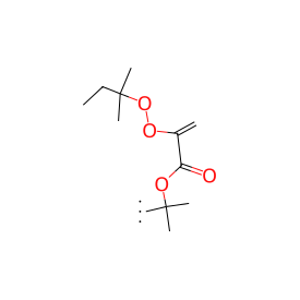 [C]C(C)(C)OC(=O)C(=C)OOC(C)(C)CC